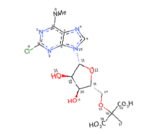 CNc1nc(Cl)nc2c1ncn2[C@@H]1O[C@H](COC(C)(C(=O)O)C(=O)O)[C@@H](O)[C@H]1O